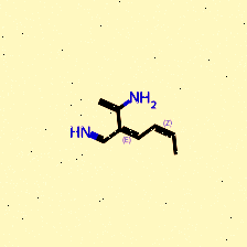 C=C(N)/C(C=N)=C\C=C/C